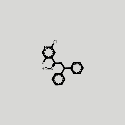 O/N=C(/CC(c1ccccc1)c1ccccc1)c1cc(Cl)ncc1F